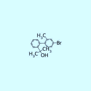 Cc1cc(Br)ccc1-c1ccccc1C(C)(C)O